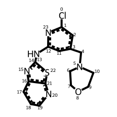 Clc1cc(CN2CCOCC2)cc(Nc2nc3cccnc3s2)n1